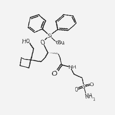 CC(C)(C)[Si](O[C@H](CC(=O)NCCS(N)(=O)=O)CC1(CO)CCC1)(c1ccccc1)c1ccccc1